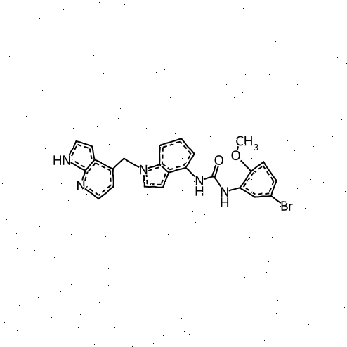 COc1ccc(Br)cc1NC(=O)Nc1cccc2c1ccn2Cc1ccnc2[nH]ccc12